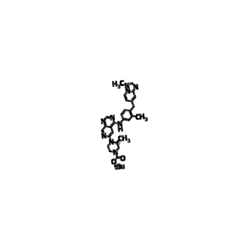 Cc1cc(Nc2ncnc3cnc(N4CCN(C(=O)OC(C)(C)C)C[C@@H]4C)cc23)ccc1Cc1ccn2c(c1)nc[n+]2C